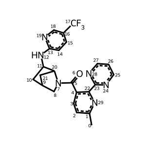 Cc1ccc(C(=O)N2CC3CC(Nc4ccc(C(F)(F)F)cn4)C2C3)c(-c2ncccn2)n1